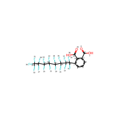 O=C(O)c1cccc(C(F)(F)C(F)(F)C(F)(F)C(F)(F)C(F)(F)C(F)(F)C(F)(F)C(F)(F)F)c1C(=O)O